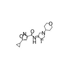 C[C@@H]1CN(C2CCOCC2)C[C@H]1NC(=O)c1cc(C2CC2)on1